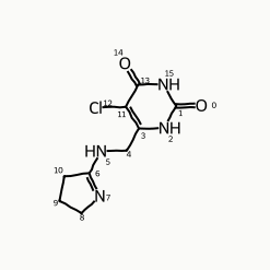 O=c1[nH]c(CNC2=NCCC2)c(Cl)c(=O)[nH]1